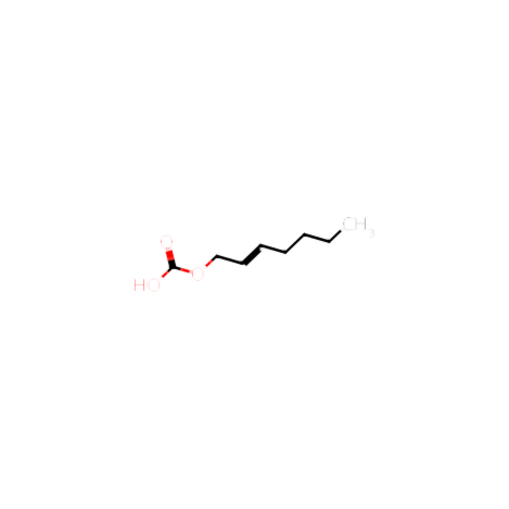 CCCCC=CCOC(=O)O